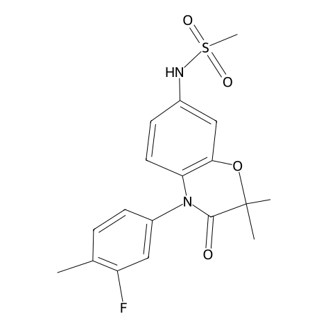 Cc1ccc(N2C(=O)C(C)(C)Oc3cc(NS(C)(=O)=O)ccc32)cc1F